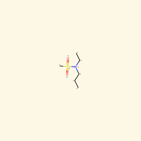 CCCN(CC)S(C)(=O)=O